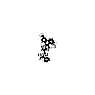 CC(NC(=O)c1cnn2c(-c3ccc(C(F)(F)F)cc3)c(-c3ccccc3Cl)cnc12)c1ccccn1